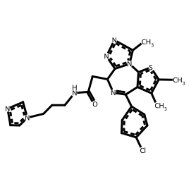 Cc1sc2c(c1C)C(c1ccc(Cl)cc1)=NC(CC(=O)NCCCn1ccnc1)c1nnc(C)n1-2